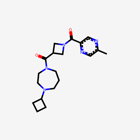 Cc1cnc(C(=O)N2CC(C(=O)N3CCCN(C4CCC4)CC3)C2)cn1